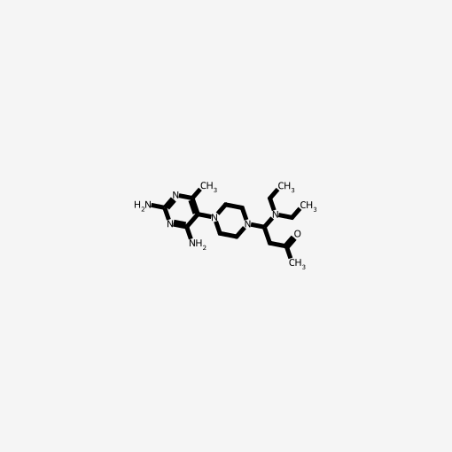 CCN(CC)C(CC(C)=O)N1CCN(c2c(C)nc(N)nc2N)CC1